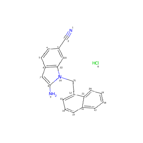 Cl.N#Cc1ccc2cc(N)n(Cc3cccc4ccccc34)c2c1